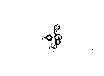 Fc1ccc(C2c3cc(OC(F)(F)F)ccc3OCC2CN2CCOCC2)cc1